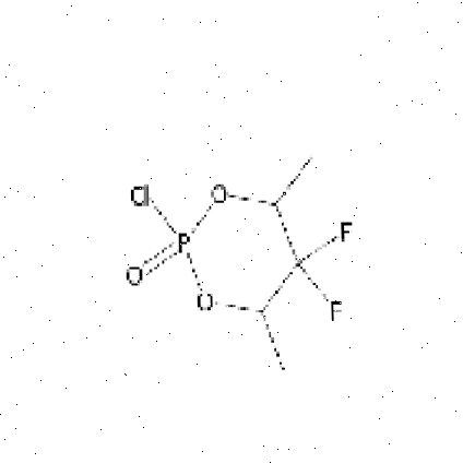 CC1OP(=O)(Cl)OC(C)C1(F)F